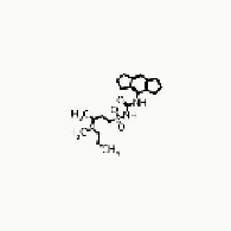 CCCN(C)C(C)CCS(=O)(=O)NC(=O)Nc1c2c(cc3c1CCC3)CCC2